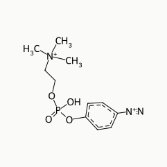 C[N+](C)(C)CCOP(=O)(O)Oc1ccc([N+]#N)cc1